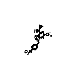 O=[N+]([O-])c1ccc(Cn2cnc3c(NC4CC4)nc(C(F)(F)F)nc32)cc1